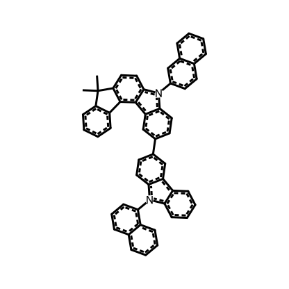 CC1(C)c2ccccc2-c2c1ccc1c2c2cc(-c3ccc4c(c3)c3ccccc3n4-c3cccc4ccccc34)ccc2n1-c1ccc2ccccc2c1